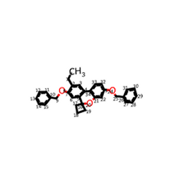 CCc1cc2c(cc1OCc1ccccc1)C1(CCC1)Oc1cc(OCc3ccccc3)ccc1-2